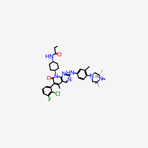 CCC(=O)N[C@H]1CC[C@@H](n2c(=O)c(-c3cccc(F)c3Cl)c(C)c3cnc(Nc4ccc(N5C[C@@H](C)N(C)[C@@H](C)C5)c(C)c4)nc32)CC1